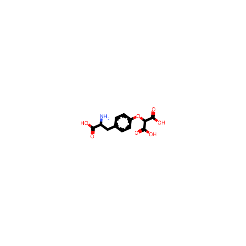 NC(Cc1ccc(OC(C(=O)O)C(=O)O)cc1)C(=O)O